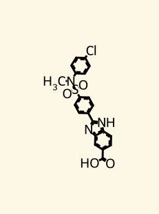 CN(c1ccc(Cl)cc1)S(=O)(=O)c1ccc(-c2nc3cc(C(=O)O)ccc3[nH]2)cc1